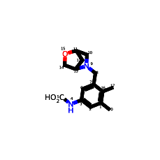 Cc1cc(NC(=O)O)cc(CN2CC3CC2CO3)c1C